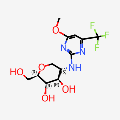 COc1cc(C(F)(F)F)nc(N[C@H]2CO[C@H](CO)[C@H](O)[C@@H]2O)n1